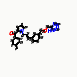 Cc1ccc(C(=O)c2cccn2C/C=C/c2cccc(COCc3nnn[nH]3)c2)cc1